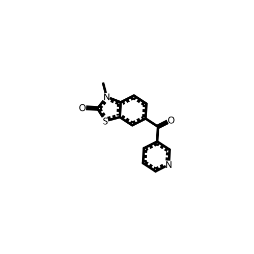 Cn1c(=O)sc2cc(C(=O)c3cccnc3)ccc21